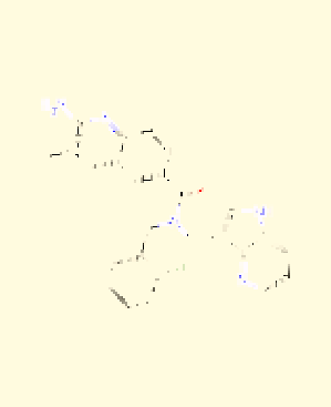 Cc1cc2cc(C(=O)N(Cc3ccccc3F)Cc3c[nH]c4cccnc34)ccc2nc1N